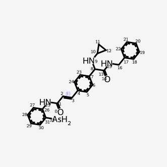 O=C(/C=C/c1ccc(C(NC2CC2)C(=O)NCc2ccccc2)cc1)Nc1ccccc1[AsH2]